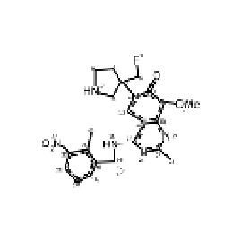 COc1c(=O)n(C2(CF)CCNC2)cc2c(N[C@H](C)c3cccc([N+](=O)[O-])c3C)nc(C)nc12